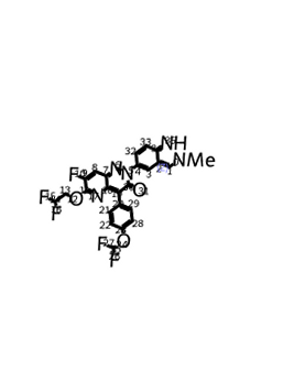 CN/C=C1/C=C(n2nc3cc(F)c(OCC(F)F)nc3c(-c3ccc(OC(F)F)cc3)c2=O)C=CC1=N